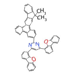 CC1(C)c2ccccc2-c2cc3c4ccccc4c4cc(-c5nc(-c6cccc7c6oc6ccccc67)cc(-c6cccc7c6oc6ccccc67)n5)ccc4c3cc21